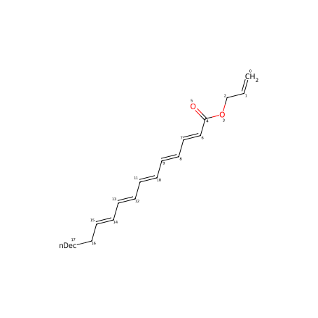 C=CCOC(=O)/C=C/C=C/C=C/C=C/C=C/CCCCCCCCCCC